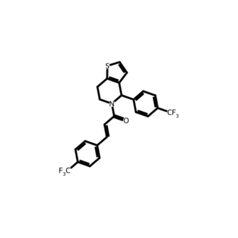 O=C(C=Cc1ccc(C(F)(F)F)cc1)N1CCc2sccc2C1c1ccc(C(F)(F)F)cc1